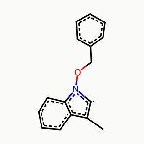 Cc1[c]n(OCc2ccccc2)c2ccccc12